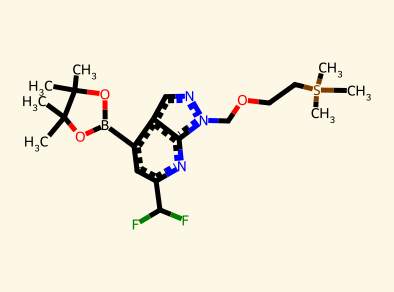 CC1(C)OB(c2cc(C(F)F)nc3c2cnn3COCCS(C)(C)C)OC1(C)C